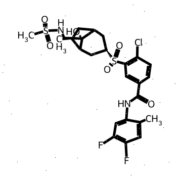 Cc1cc(F)c(F)cc1NC(=O)c1ccc(Cl)c(S(=O)(=O)[C@@H]2CC3C[C@H](C)C(C2)[C@@]3(O)CNS(C)(=O)=O)c1